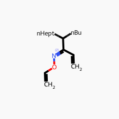 C=CO/N=C(\C=C)C(CCCC)CCCCCCC